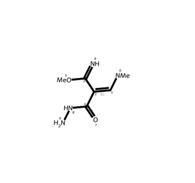 CN/C=C(\C(=N)OC)C(=O)NN